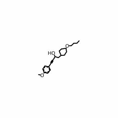 CCCCOC1CCC(CC(O)C#Cc2ccc(OC)cc2)CC1